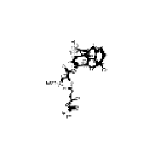 CCOC(=O)C[C@H](OC(=O)CCC(=O)OC(=O)C(F)(F)F)C(=O)OC1=CC[C@@]2(O)C3Cc4ccc(O)c5c4[C@@]2(CCN3C)[C@H]1O5